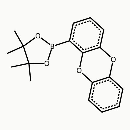 CC1(C)OB(c2cccc3c2Oc2ccccc2O3)OC1(C)C